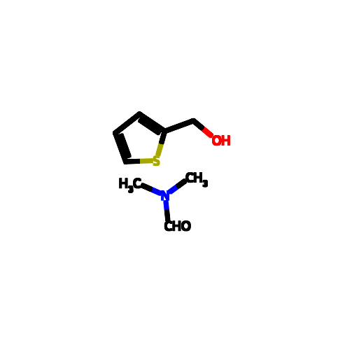 CN(C)C=O.OCc1cccs1